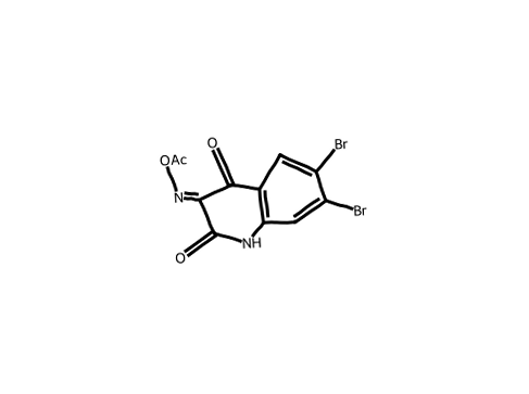 CC(=O)ON=C1C(=O)Nc2cc(Br)c(Br)cc2C1=O